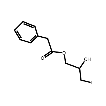 O=C(Cc1ccccc1)OCC(O)CI